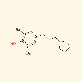 CC(C)(C)c1cc(CCCC2CCCC2)cc(C(C)(C)C)c1O